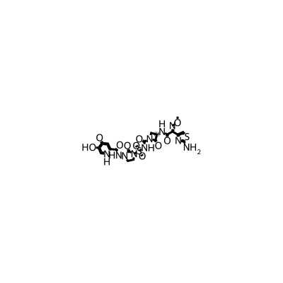 CON=C(C(=O)N[C@H]1CN(C(=O)NS(=O)(=O)N2CCN(NC(=O)c3cc(=O)c(O)c[nH]3)C2=O)C1=O)c1csc(N)n1